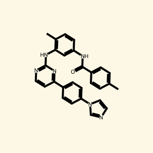 Cc1ccc(C(=O)Nc2ccc(C)c(Nc3nccc(-c4ccc(-n5ccnc5)cc4)n3)c2)cc1